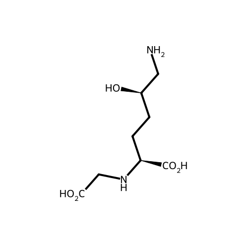 NC[C@H](O)CC[C@H](NCC(=O)O)C(=O)O